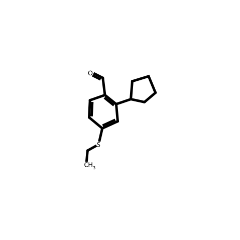 CCSc1ccc(C=O)c(C2CCCC2)c1